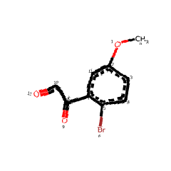 COc1ccc(Br)c(C(=O)C=O)c1